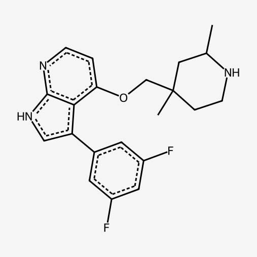 CC1CC(C)(COc2ccnc3[nH]cc(-c4cc(F)cc(F)c4)c23)CCN1